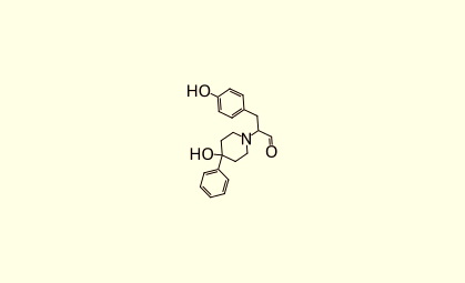 O=CC(Cc1ccc(O)cc1)N1CCC(O)(c2ccccc2)CC1